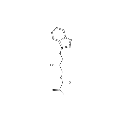 C=C(C)C(=O)OCC(O)COn1nnc2ccccc21